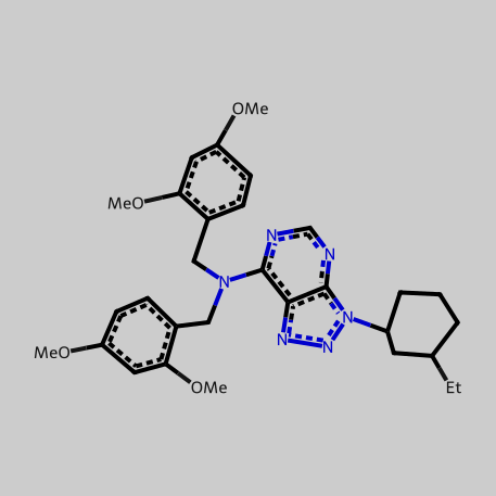 CCC1CCCC(n2nnc3c(N(Cc4ccc(OC)cc4OC)Cc4ccc(OC)cc4OC)ncnc32)C1